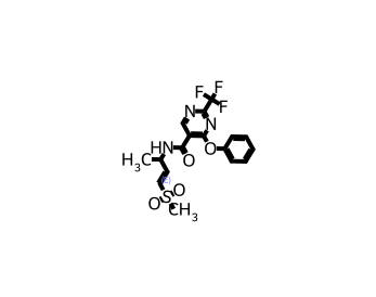 CC(/C=C/S(C)(=O)=O)NC(=O)c1cnc(C(F)(F)F)nc1Oc1ccccc1